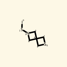 ISN1CC2(CSC2)C1